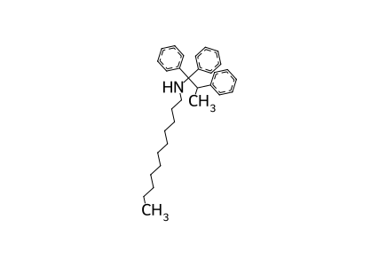 CCCCCCCCCCCNC(c1ccccc1)(c1ccccc1)C(C)c1ccccc1